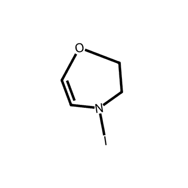 IN1C=COCC1